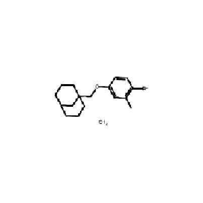 C.Cc1cc(OCC23CCCC(CCC2)C3)ccc1Br